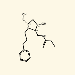 CCC(=O)NC[C@@H]1[C@@H](O)C[C@@H](CO)N1CCCc1ccccc1